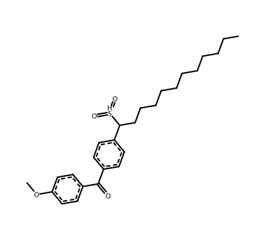 CCCCCCCCCCCC(c1ccc(C(=O)c2ccc(OC)cc2)cc1)[SH](=O)=O